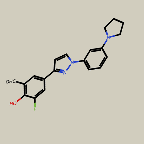 O=Cc1cc(-c2ccn(-c3cccc(N4CCCC4)c3)n2)cc(F)c1O